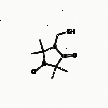 CC1(C)C(=O)N(CO)C(C)(C)N1Cl